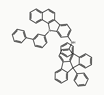 c1ccc(-c2cccc(-n3c4cc(Nc5ccc6c(c5)C(c5ccccc5)(c5ccccc5-c5ccccc5)c5ccccc5-6)ccc4c4ccc5ccccc5c43)c2)cc1